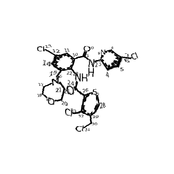 O=C(Nc1ccc(Cl)cn1)c1cc(Cl)cc(N2CCOCC2)c1NC(=O)c1scc(CCl)c1Cl